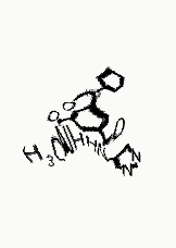 CNC(=O)c1cc(C(=O)Nc2cncnc2)cc2c1OC[C@H]2c1ccccc1